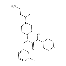 Cc1cccc(CN(C(=O)C(S)C2CCOCC2)C2CCN(C(C)CCN)CC2)c1